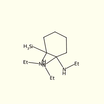 CCNC1([SiH3])CCCCC1(NCC)NCC